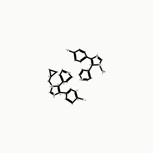 CC(C)n1cnc(-c2ccc(F)cc2)c1-c1ccncc1.Fc1ccc(-c2ncn(CC3CC3)c2-c2ccncc2)cc1